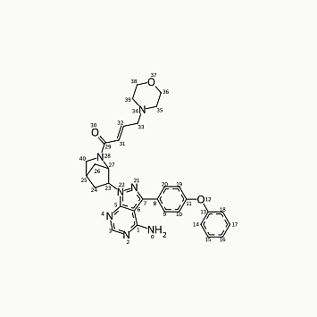 Nc1ncnc2c1c(-c1ccc(Oc3ccccc3)cc1)nn2C1CC2CC1N(C(=O)/C=C/CN1CCOCC1)C2